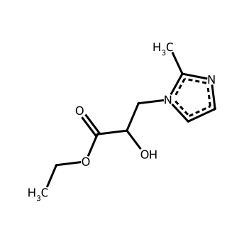 CCOC(=O)C(O)Cn1ccnc1C